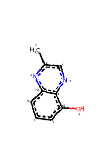 Cc1cnc2c(O)cccc2n1